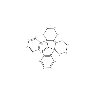 S=C(C1(c2ccccc2)CCCCC1)C1(c2ccccc2)CCCCC1